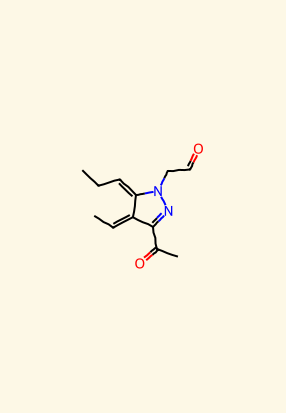 C/C=c1/c(C(C)=O)nn(CC=O)/c1=C/CC